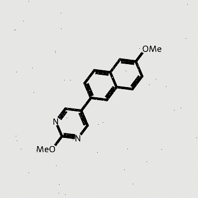 COc1ccc2cc(-c3cnc(OC)nc3)ccc2c1